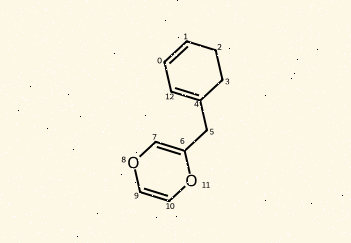 C1=CCCC(CC2=COC=CO2)=C1